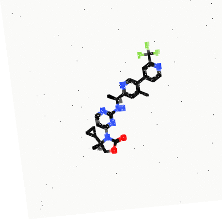 Cc1cc([C@H](C)Nc2nccc(N3C(=O)OC[C@]3(C)C3CC3)n2)ncc1-c1ccnc(C(F)(F)F)c1